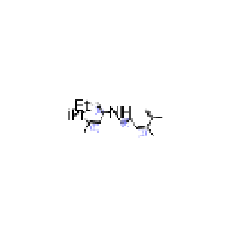 C=C(C)/C(C)=C\C=C\NC(/C=C(/C)C(C)C)=C/CC